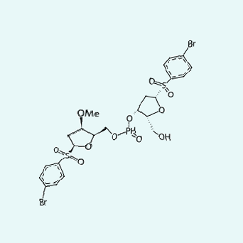 CO[C@@H]1C[C@H](S(=O)(=O)c2ccc(Br)cc2)O[C@@H]1CO[PH](=O)O[C@@H]1C[C@H](S(=O)(=O)c2ccc(Br)cc2)O[C@@H]1CO